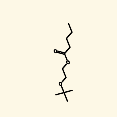 CCCCC(=O)OCCOC(C)(C)C